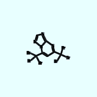 BrC(Br)(Br)c1cc(C(Br)(Br)Br)n2ncnc2n1